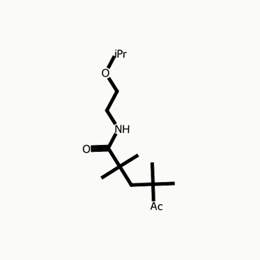 CC(=O)C(C)(C)CC(C)(C)C(=O)NCCOC(C)C